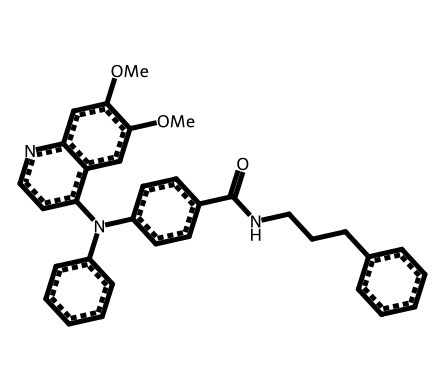 COc1cc2nccc(N(c3ccccc3)c3ccc(C(=O)NCCCc4ccccc4)cc3)c2cc1OC